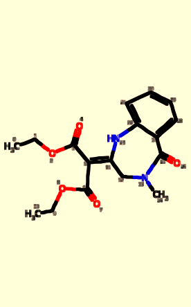 CCOC(=O)C(C(=O)OCC)=C1CN(C)C(=O)c2ccccc2N1